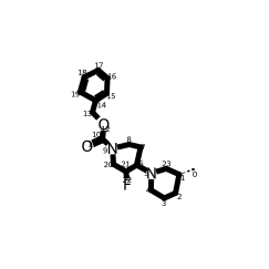 C[C@@H]1CCCN(C2CCN(C(=O)OCc3ccccc3)CC2F)C1